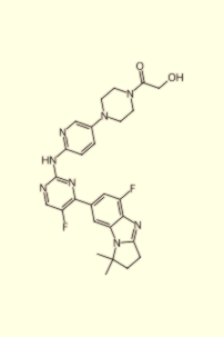 CC1(C)CCc2nc3c(F)cc(-c4nc(Nc5ccc(N6CCN(C(=O)CO)CC6)cn5)ncc4F)cc3n21